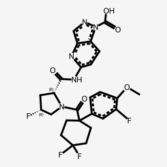 COc1ccc(C2(C(=O)N3C[C@H](F)C[C@@H]3C(=O)Nc3ccc4c(cnn4C(=O)O)n3)CCC(F)(F)CC2)cc1F